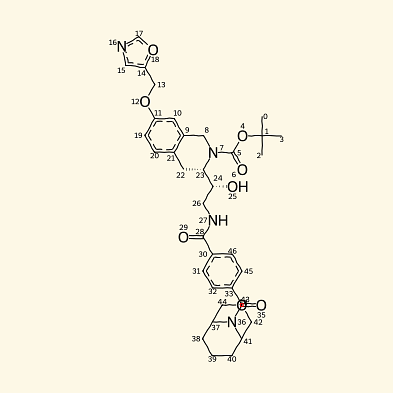 CC(C)(C)OC(=O)N1Cc2cc(OCc3cnco3)ccc2C[C@H]1[C@H](O)CNC(=O)c1ccc(C(=O)N2C3CCCC2COC3)cc1